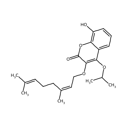 CC(C)=CCCC(C)=CCOc1c(OC(C)C)c2cccc(O)c2oc1=O